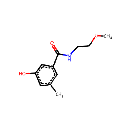 COCCNC(=O)c1cc(C)cc(O)c1